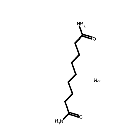 NC(=O)CCCCCCCC(N)=O.[Na]